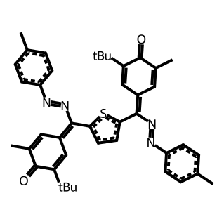 CC1=C/C(=C(\N=N\c2ccc(C)cc2)c2ccc(C(/N=N/c3ccc(C)cc3)=C3/C=C(C)C(=O)C(C(C)(C)C)=C3)s2)C=C(C(C)(C)C)C1=O